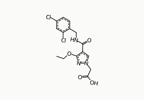 CCOc1nn(CC(=O)O)cc1C(=O)NCc1ccc(Cl)cc1Cl